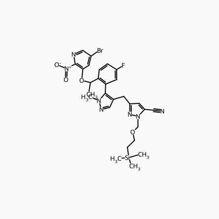 CC(Oc1cc(Br)cnc1[N+](=O)[O-])c1ccc(F)cc1-c1c(Cc2cc(C#N)n(COCC[Si](C)(C)C)n2)cnn1C